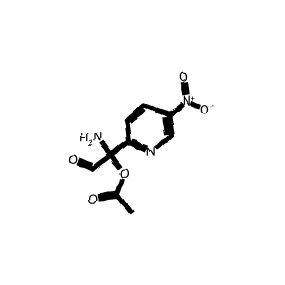 CC(=O)OC(N)(C=O)c1ccc([N+](=O)[O-])cn1